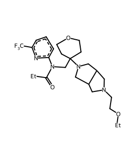 CCOCCN1CC2CN(C3(CN(C(=O)CC)c4cccc(C(F)(F)F)n4)CCOCC3)CC2C1